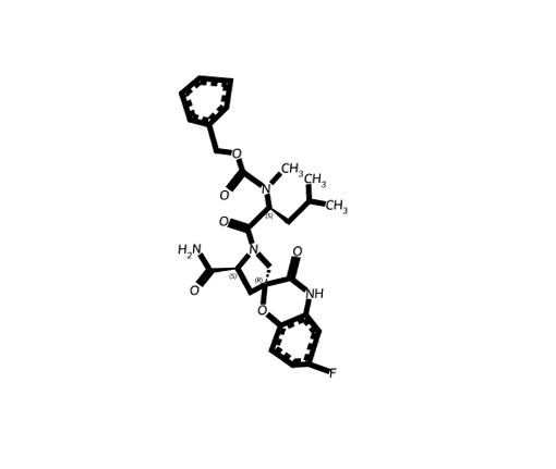 CC(C)C[C@@H](C(=O)N1C[C@@]2(C[C@H]1C(N)=O)Oc1ccc(F)cc1NC2=O)N(C)C(=O)OCc1ccccc1